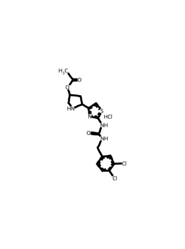 CC(=O)OC1CNC(c2csc(NC(=O)NCc3ccc(Cl)c(Cl)c3)n2)C1.Cl